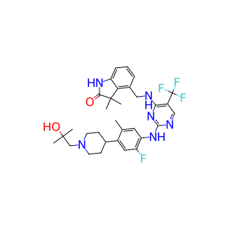 Cc1cc(Nc2ncc(C(F)(F)F)c(NCc3cccc4c3C(C)(C)C(=O)N4)n2)c(F)cc1C1CCN(CC(C)(C)O)CC1